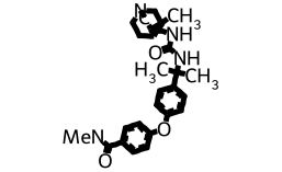 CNC(=O)c1ccc(Oc2ccc(C(C)(C)NC(=O)NC3(C)CN4CCC3CC4)cc2)cc1